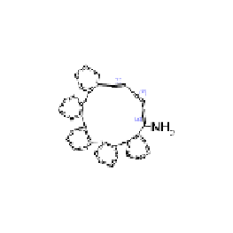 N\C1=C/C=C\C=C\c2ccccc2-c2ccccc2-c2ccccc2-c2ccccc2-c2ccccc21